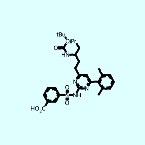 Cc1cccc(C)c1-c1cc(CCC(CC(C)C)NC(=O)OC(C)(C)C)nc(NS(=O)(=O)c2cccc(C(=O)O)c2)n1